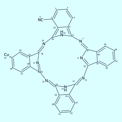 N#Cc1cccc2c3nc4nc(nc5[nH]c(nc6nc(nc([nH]3)c12)-c1ccccc1-6)c1ccccc51)-c1ccccc1-4.[Cu]